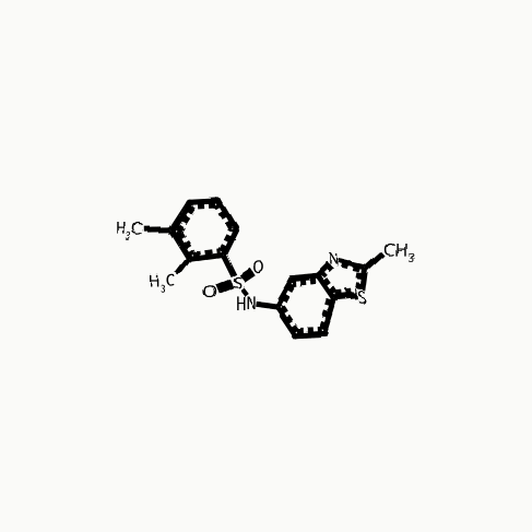 Cc1nc2cc(NS(=O)(=O)c3cccc(C)c3C)ccc2s1